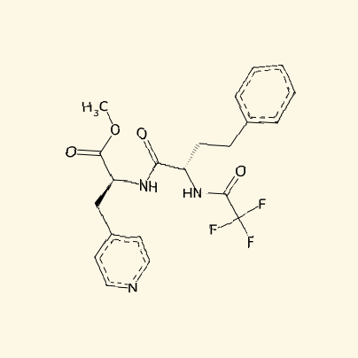 COC(=O)[C@H](Cc1ccncc1)NC(=O)[C@H](CCc1ccccc1)NC(=O)C(F)(F)F